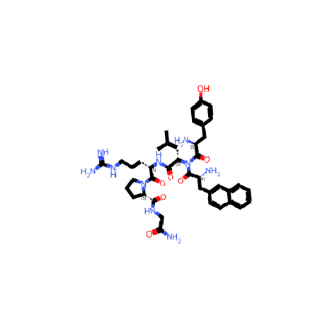 CC(C)C[C@@H](C(=O)N[C@@H](CCCNC(=N)N)C(=O)N1CCC[C@H]1C(=O)NCC(N)=O)N(C(=O)[C@H](N)Cc1ccc2ccccc2c1)C(=O)[C@@H](N)Cc1ccc(O)cc1